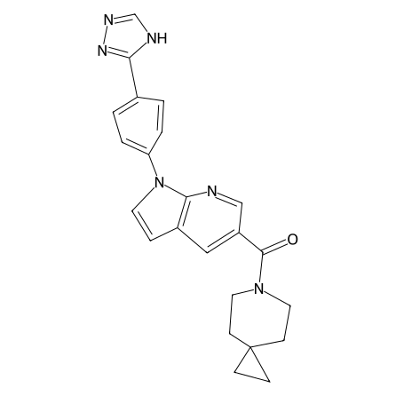 O=C(c1cnc2c(ccn2-c2ccc(-c3nnc[nH]3)cc2)c1)N1CCC2(CC1)CC2